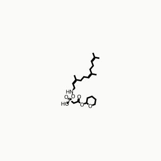 CC(C)=CCCC(C)=CCCC(C)=CCNOP(=O)(O)CC(=O)OC1CCCCO1